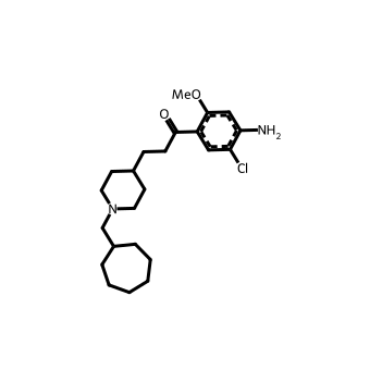 COc1cc(N)c(Cl)cc1C(=O)CCC1CCN(CC2CCCCCC2)CC1